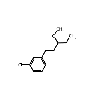 [CH2]CC(CCc1cccc(Cl)c1)OC